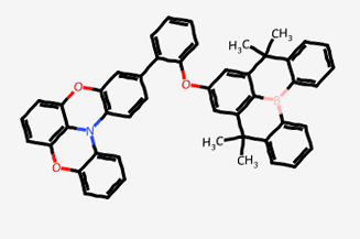 CC1(C)c2ccccc2B2c3ccccc3C(C)(C)c3cc(Oc4ccccc4-c4ccc5c(c4)Oc4cccc6c4N5c4ccccc4O6)cc1c32